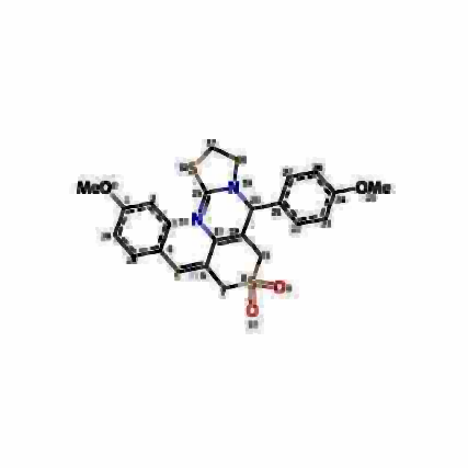 COc1ccc(/C=C2/CS(=O)(=O)CC3=C2N=C2SCCN2C3c2ccc(OC)cc2)cc1